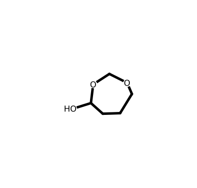 OC1CCCOCO1